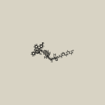 CC/C=C\C/C=C\C/C=C\C/C=C\C/C=C\CCCC(=O)NCCN(C)CCNC(=O)C[C@H](O)C[C@H](O)CCn1c(-c2ccc(F)cc2)c(-c2ccccc2)c(C(=O)Nc2ccccc2)c1C(C)C